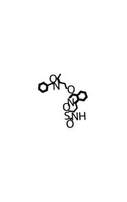 Cc1oc(-c2ccccc2)nc1CCOc1cnc(CC2NC(=O)SC2=O)c2ccccc12